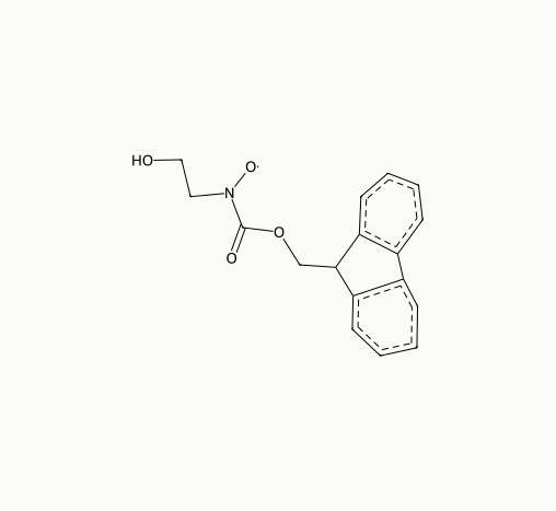 [O]N(CCO)C(=O)OCC1c2ccccc2-c2ccccc21